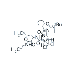 C=CCCC(NC(=O)[C@@H]1[C@@H]2[C@H](CN1C(=O)[C@@H](NC(=O)NC(C)(C)C)C1CCCCC1)C2(Cl)Cl)C(=O)C(=O)NCC=C